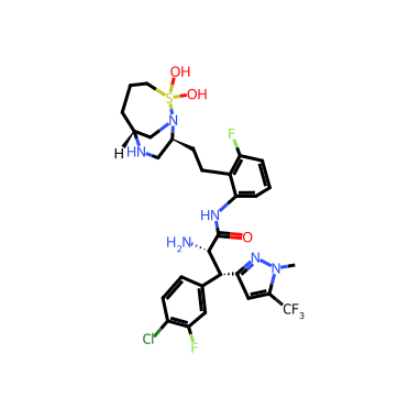 Cn1nc([C@H](c2ccc(Cl)c(F)c2)[C@H](N)C(=O)Nc2cccc(F)c2CC[C@H]2CN[C@@H]3CCCS(O)(O)N2C3)cc1C(F)(F)F